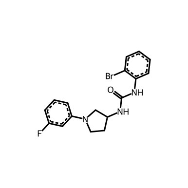 O=C(Nc1ccccc1Br)NC1CCN(c2cccc(F)c2)C1